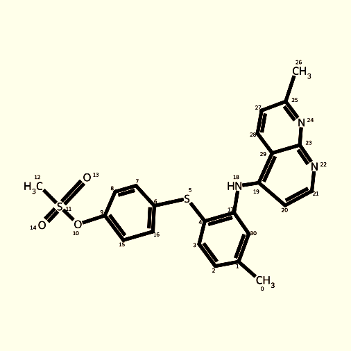 Cc1ccc(Sc2ccc(OS(C)(=O)=O)cc2)c(Nc2ccnc3nc(C)ccc23)c1